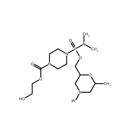 CC1CN(C(C)C)CC(COP(=O)(N(C)C)N2CCN(C(=O)OCCO)CC2)O1